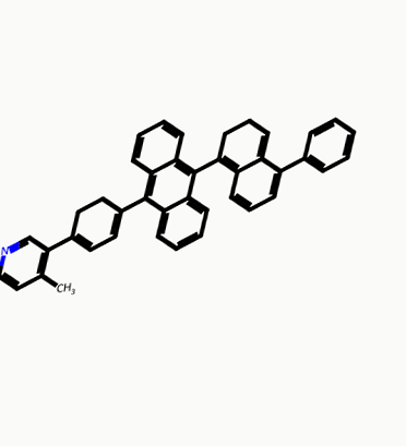 Cc1ccncc1C1=CC=C(c2c3ccccc3c(C3=c4cccc(-c5ccccc5)c4=CCC3)c3ccccc23)CC1